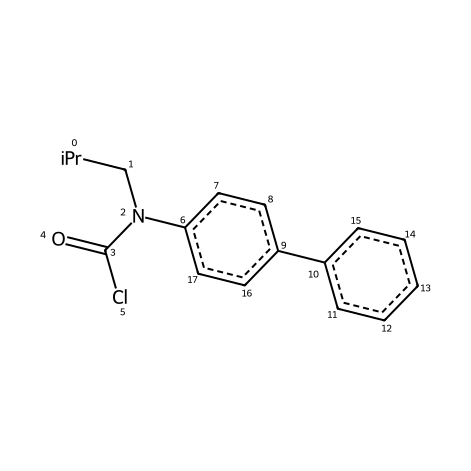 CC(C)CN(C(=O)Cl)c1ccc(-c2ccccc2)cc1